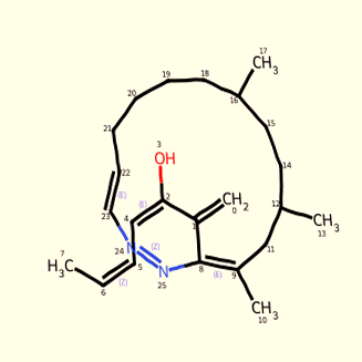 C=C(/C(O)=C\C=C/C)C1=C(/C)CC(C)CCC(C)CCCC/C=C/N=N\1